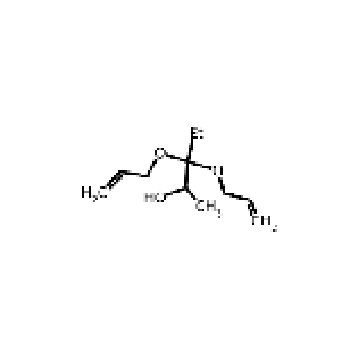 C=CCOC(CC)(OCC=C)C(C)O